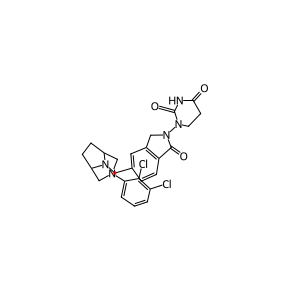 O=C1CCN(N2Cc3cc(CN4C5CCC4CN(c4cccc(Cl)c4Cl)C5)ccc3C2=O)C(=O)N1